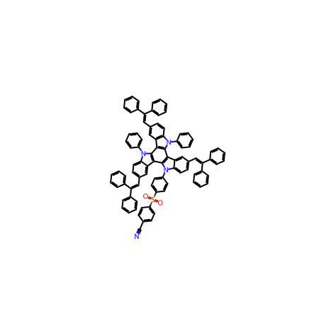 N#Cc1ccc(S(=O)(=O)c2ccc(-n3c4ccc(C=C(c5ccccc5)c5ccccc5)cc4c4c5c(c6cc(C=C(c7ccccc7)c7ccccc7)ccc6n5-c5ccccc5)c5c(c6cc(C=C(c7ccccc7)c7ccccc7)ccc6n5-c5ccccc5)c43)cc2)cc1